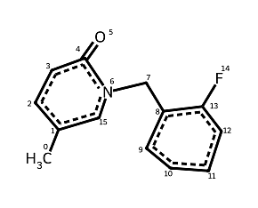 Cc1ccc(=O)n(Cc2ccccc2F)c1